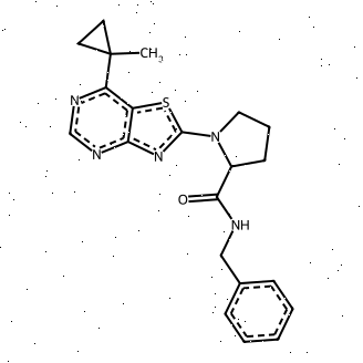 CC1(c2ncnc3nc(N4CCCC4C(=O)NCc4ccccc4)sc23)CC1